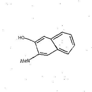 CNc1cc2ccccc2cc1O